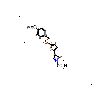 COc1ccc(CSc2ccc(C3CN(C(=O)O)C3)s2)cc1